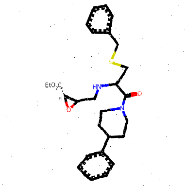 CCOC(=O)[C@H]1OC1CNC(CSCc1ccccc1)C(=O)N1CCC(c2ccccc2)CC1